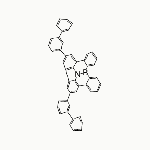 c1ccc(-c2cccc(-c3cc4c5c(c3)c3cc(-c6cccc(-c7ccccc7)c6)cc6c3n5B(c3ccccc3-4)c3ccccc3-6)c2)cc1